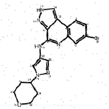 Brc1ccc2c(c1)nc(Nc1cnn(C3CCOCC3)c1)c1n[nH]cc12